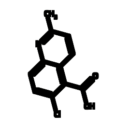 Cc1ccc2c(C(=O)O)c(Cl)ccc2n1